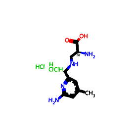 Cc1cc(N)nc(CNC[C@H](N)C(=O)O)c1.Cl.Cl.Cl